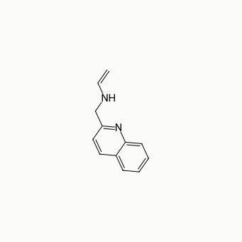 C=CNCc1ccc2ccccc2n1